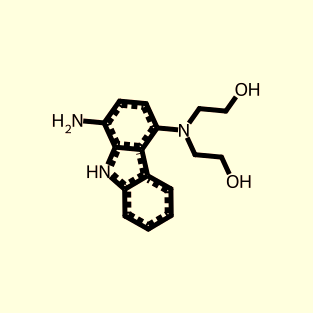 Nc1ccc(N(CCO)CCO)c2c1[nH]c1ccccc12